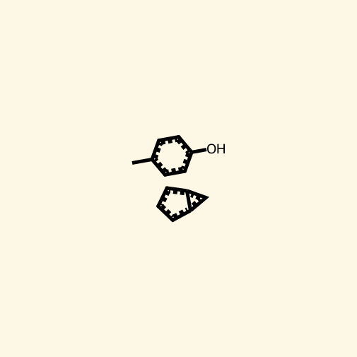 Cc1ccc(O)cc1.c1cc2cc-2c1